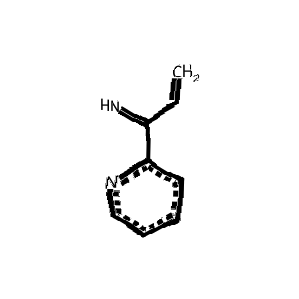 C=CC(=N)c1ccccn1